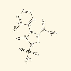 CCCS(=O)(=O)N1C[C@@H](C(=O)OC)N(c2ccccc2Cl)C1=O